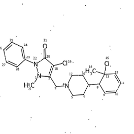 Cn1c(CN2CCC(C3C=CC=CC3(C)Cl)CC2)c(Cl)c(=O)n1-c1ccccc1